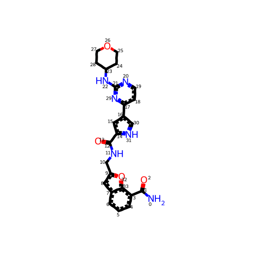 NC(=O)c1cccc2cc(CNC(=O)c3cc(-c4ccnc(NC5CCOCC5)n4)c[nH]3)oc12